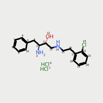 Cl.Cl.N[C@@H](Cc1ccccc1)[C@H](O)CNCCc1ccccc1Cl